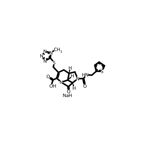 Cn1nnnc1SCC1=C(C(=O)O)N2C(=O)[C@@H]3[C@H]2[C@H](C1)CN3C(=O)NCc1cccs1.[NaH]